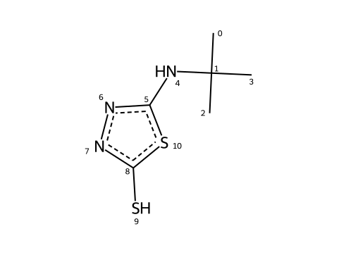 CC(C)(C)Nc1nnc(S)s1